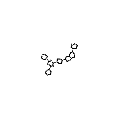 c1ccc(-c2nc(-c3ccccc3)nc(-c3ccc(-c4ccc5ccc(-c6cccnc6)cc5c4)cc3)n2)cc1